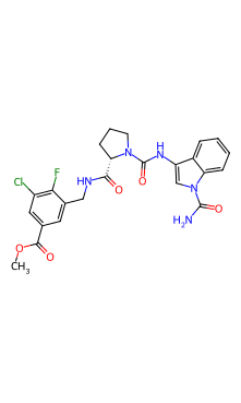 COC(=O)c1cc(Cl)c(F)c(CNC(=O)[C@@H]2CCCN2C(=O)Nc2cn(C(N)=O)c3ccccc23)c1